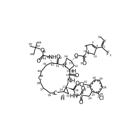 C/C=C(/F)C1=CCN(C(=O)O[C@@H]2C[C@H]3C(=O)N[C@]4(C(=O)NS(=O)(=O)Cc5c(Cl)cccc5Cl)C[C@H]4CCCCCCC[C@H](NC(=O)OC(C)(C)C)C(=O)N3C2)C1